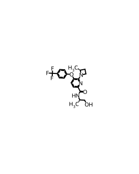 C[C@H](CO)NC(=O)c1ccc(Oc2ccc(C(F)(F)F)cc2)c(N2CC[C@@H]2C)n1